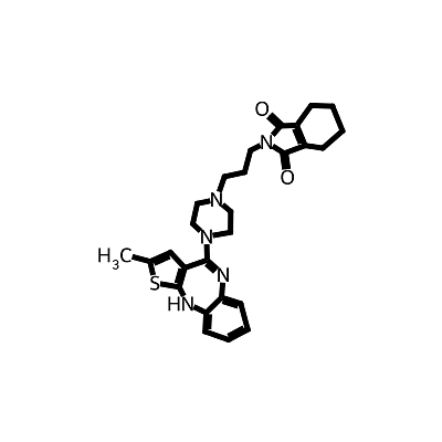 Cc1cc2c(s1)Nc1ccccc1N=C2N1CCN(CCCN2C(=O)C3=C(CCCC3)C2=O)CC1